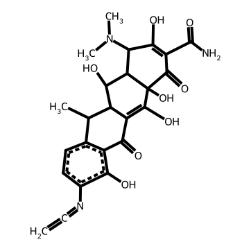 C=C=Nc1ccc2c(c1O)C(=O)C1=C(O)C3(O)C(=O)C(C(N)=O)=C(O)C(N(C)C)C3C(O)C1C2C